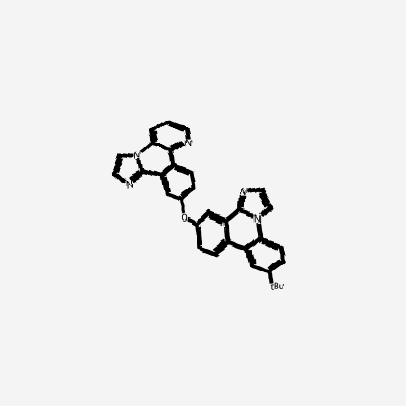 CC(C)(C)c1ccc2c(c1)c1ccc(Oc3ccc4c(c3)c3nccn3c3cccnc43)cc1c1nccn21